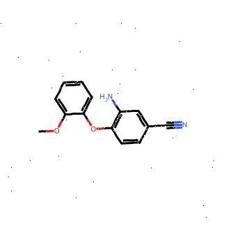 COc1ccccc1Oc1ccc(C#N)cc1N